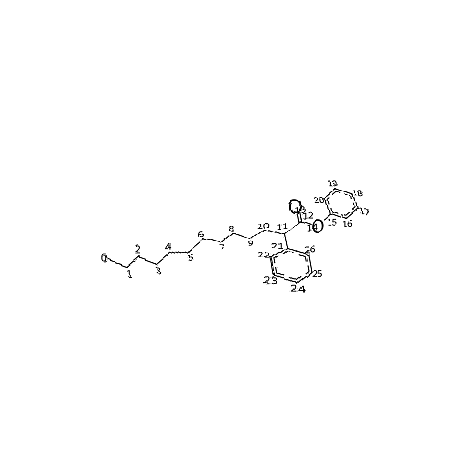 CCCCCCCCCCCC(C(=O)Oc1ccccc1)c1ccccc1